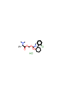 CC(C)[C@@H](C(=O)OCOC(=O)N(C)[C@]1(c2ccccc2Cl)CCCCC1=O)N(C)C.Cl